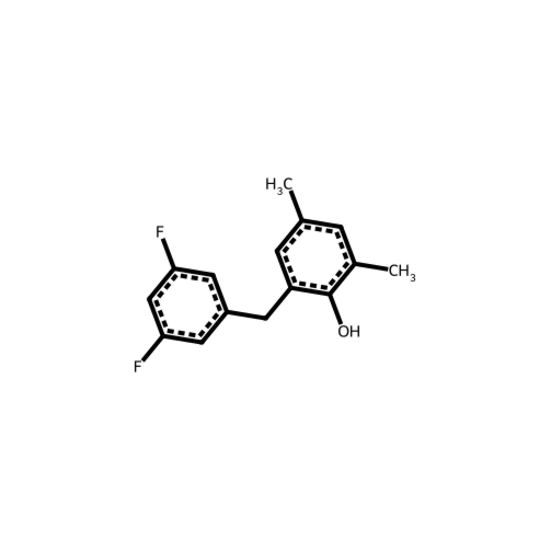 Cc1cc(C)c(O)c(Cc2cc(F)cc(F)c2)c1